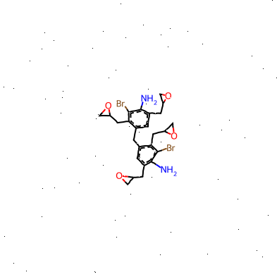 Nc1c(CC2CO2)cc(Cc2cc(CC3CO3)c(N)c(Br)c2CC2CO2)c(CC2CO2)c1Br